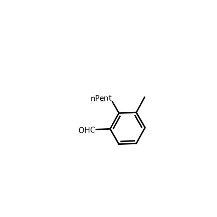 CCCCCc1c(C)cccc1C=O